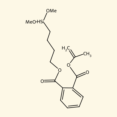 C=C(C)OC(=O)c1ccccc1C(=O)OCCCC[SiH](OC)OC